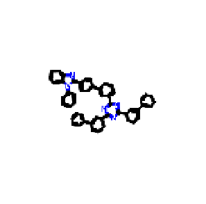 c1ccc(-c2cccc(-c3nc(-c4cccc(-c5ccccc5)c4)nc(-c4cccc(-c5ccc(-c6nc7ccccc7n6-c6ccccc6)cc5)c4)n3)c2)cc1